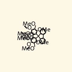 C=COc1c(COC)c(OC)c(C2(c3c(OC)c(COC)c(OC=C)c(OC)c3OC)c3ccccc3-c3ccccc32)c(OC)c1OC